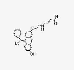 CCC(=C(c1ccc(OCCNC/C=C/C(=O)N(C)C)cc1)c1ccc(O)cc1F)c1ccccc1